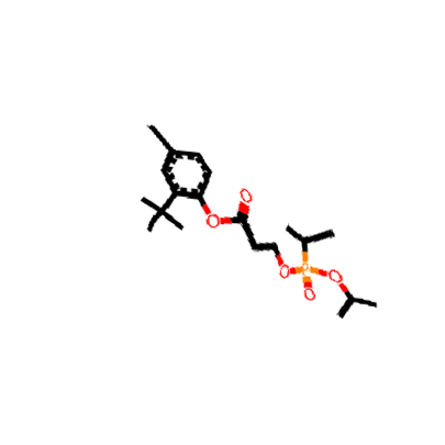 Cc1ccc(OC(=O)CCOP(=O)(OC(C)C)C(C)C)c(C(C)(C)C)c1